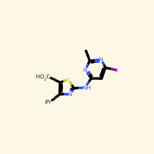 Cc1nc(I)cc(Nc2nc(C(C)C)c(C(=O)O)s2)n1